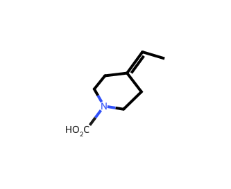 CC=C1CCN(C(=O)O)CC1